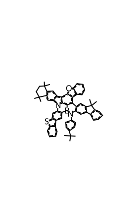 CC(C)(C)c1ccc(N2B3c4cc5c(cc4-n4c6cc7c(cc6c6c8oc9ccccc9c8c(c3c64)-c3cc4c(cc32)-c2ccccc2C4(C)C)C(C)(C)CCC7(C)C)sc2ccccc25)cc1